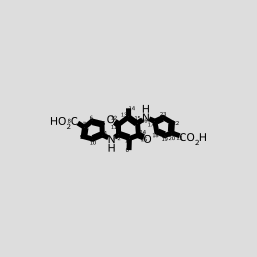 CC1=C(Nc2ccc(C(=O)O)cc2)C(=O)C(C)=C(Nc2ccc(C(=O)O)cc2)C1=O